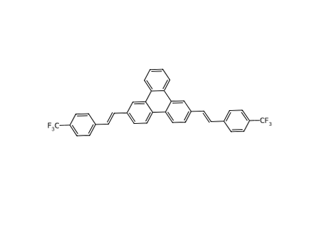 FC(F)(F)c1ccc(/C=C/c2ccc3c4ccc(/C=C/c5ccc(C(F)(F)F)cc5)cc4c4ccccc4c3c2)cc1